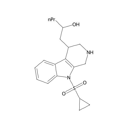 CCCC(O)CC1CNCc2c1c1ccccc1n2S(=O)(=O)C1CC1